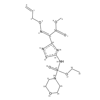 C=CCON=C(C(=O)OC)c1nsc(NP(=O)(OCC)N2CCOCC2)n1